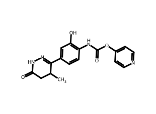 CC1CC(=O)NN=C1c1ccc(NC(=O)Oc2ccncc2)c(O)c1